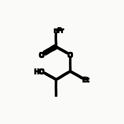 CCCC(=O)OC(CC)C(C)O